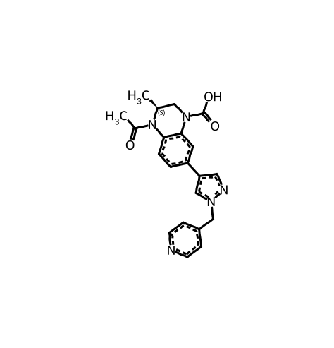 CC(=O)N1c2ccc(-c3cnn(Cc4ccncc4)c3)cc2N(C(=O)O)C[C@@H]1C